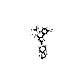 Nc1sc(N2CCC3(CC2)OCCO3)nc1-c1cc(Cl)ccc1OC(F)F